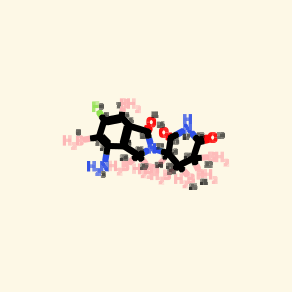 Bc1c(N)c2c(c(B)c1F)C(=O)N([C@]1(B)C(=O)NC(=O)C(B)(B)C1(B)B)C2(B)B